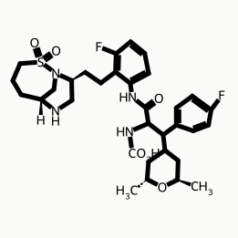 C[C@@H]1CC(C(c2ccc(F)cc2)C(NC(=O)O)C(=O)Nc2cccc(F)c2CC[C@H]2CN[C@@H]3CCCS(=O)(=O)N2C3)C[C@@H](C)O1